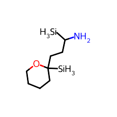 NC([SiH3])CCC1([SiH3])CCCCO1